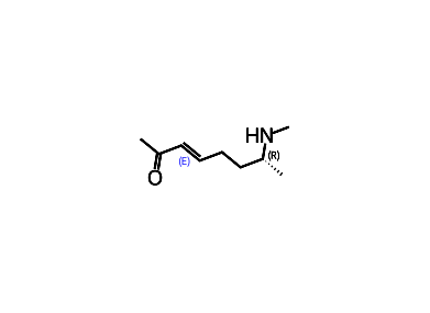 CN[C@H](C)CC/C=C/C(C)=O